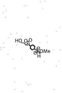 CONS(=O)(=O)c1ccc(N2CC(CO)OC2=O)cc1